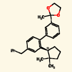 CC(C)Cc1ccc(-c2cccc(C3(C)OCCO3)c2)c([C@H]2CCCC2(C)C)c1